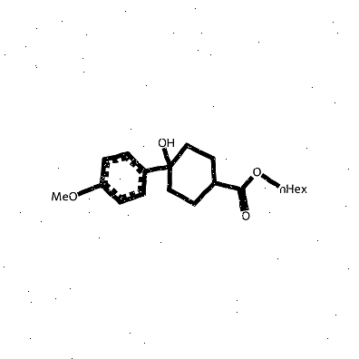 CCCCCCOC(=O)C1CCC(O)(c2ccc(OC)cc2)CC1